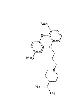 COc1ccc2c(c1)N(CCCN1CCC(C(C)O)CC1)c1cccc(SC)c1S2